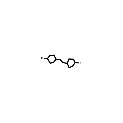 CCC1CCC(CCC2CCC(CC)CC2)CC1